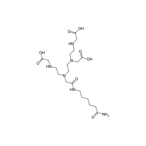 NC(=O)CCCCCNC(=O)CN(CCNCC(=O)O)CCN(CCNCC(=O)O)CC(=O)O